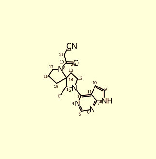 CC1N(c2ncnc3[nH]ccc23)CCC12CCCN2C(=O)CC#N